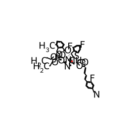 C=CCOP(=O)(OCC=C)OCc1c(C)cccc1C(=O)O[C@@](Cn1cncn1)(c1ccc(F)cc1F)[C@@H](C)S[C@H]1CO[C@H](C=CC=Cc2ccc(C#N)cc2F)OC1